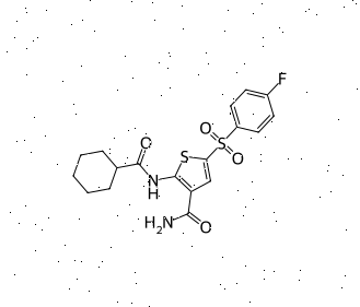 NC(=O)c1cc(S(=O)(=O)c2ccc(F)cc2)sc1NC(=O)C1CCCCC1